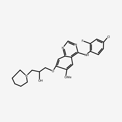 COc1cc2c(Nc3ccc(Cl)cc3F)ncnc2cc1OCC(O)CN1CCCCC1